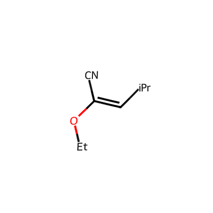 CCOC(C#N)=CC(C)C